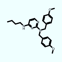 CCCCNc1ccnc(N(Cc2ccc(OC)cc2)Cc2ccc(OC)cc2)n1